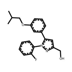 CC(C)COc1cccc(-c2cc(CO)nn2-c2ccccc2F)c1